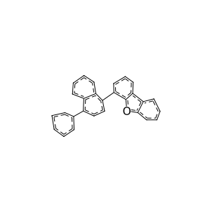 c1ccc(-c2ccc(-c3cccc4c3oc3ccccc34)c3ccccc23)cc1